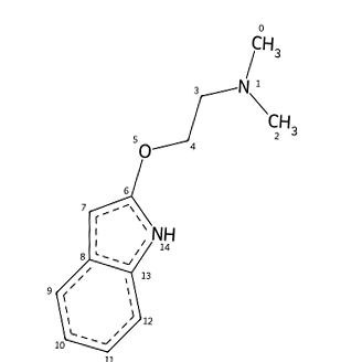 CN(C)CCOc1cc2ccccc2[nH]1